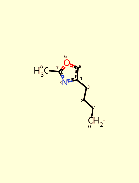 [CH2]CCCc1coc(C)n1